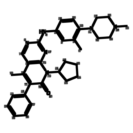 Cc1cc(Nc2ncc3c(C)c(-c4ccccc4)c(=O)n(C4CCCC4)c3n2)ccc1N1CCN(C)CC1